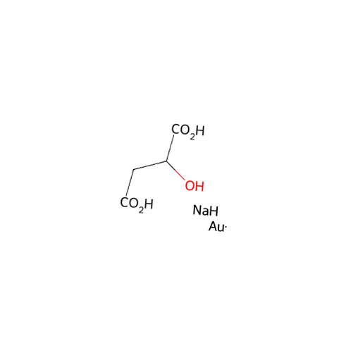 O=C(O)CC(O)C(=O)O.[Au].[NaH]